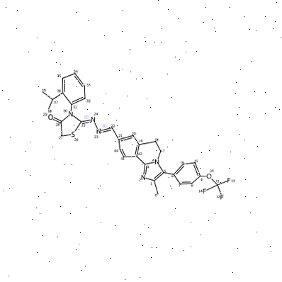 Cc1nc2n(c1-c1ccc(OC(F)(F)F)cc1)CCc1cc(/C=N/N=C3\SCC(=O)N3c3ccccc3C(C)C)ccc1-2